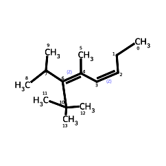 CC/C=C\C(C)=C(\C(C)C)C(C)(C)C